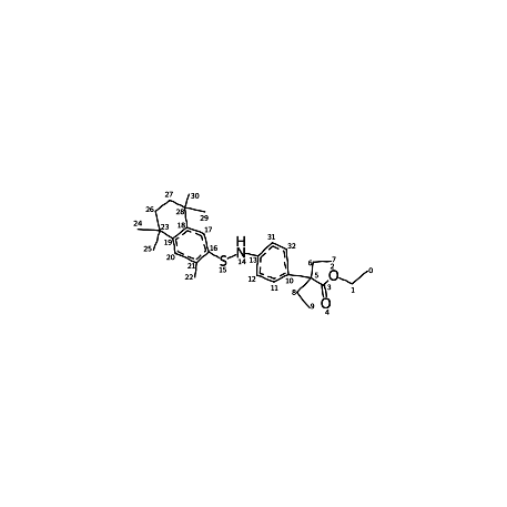 CCOC(=O)C(CC)(CC)c1ccc(NSc2cc3c(cc2C)C(C)(C)CCC3(C)C)cc1